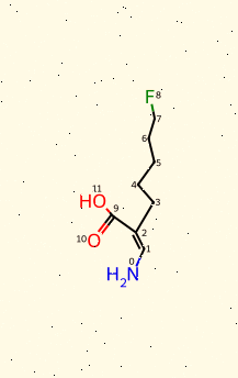 NC=C(CCCCCF)C(=O)O